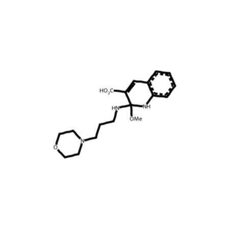 COC1(NCCCN2CCOCC2)Nc2ccccc2C=C1C(=O)O